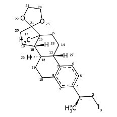 C[C@H](CI)c1ccc2c(c1)CC[C@@H]1[C@@H]2CCC2(C)[C@H]1CCC21OCCO1